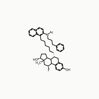 CC(=O)N(CCCc1ccccc1)c1ccc2ccccc2c1CCCCCC[C@@H]1Cc2cc(O)ccc2C2C1C1CC[C@H](O)[C@@]1(C)C[C@@H]2F